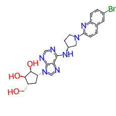 OC[C@H]1C[C@@H](n2cnc3c(N[C@H]4CCN(c5ccc6cc(Br)ccc6n5)C4)ncnc32)[C@H](O)[C@@H]1O